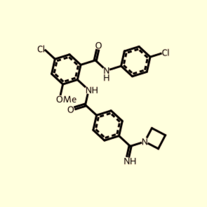 COc1cc(Cl)cc(C(=O)Nc2ccc(Cl)cc2)c1NC(=O)c1ccc(C(=N)N2CCC2)cc1